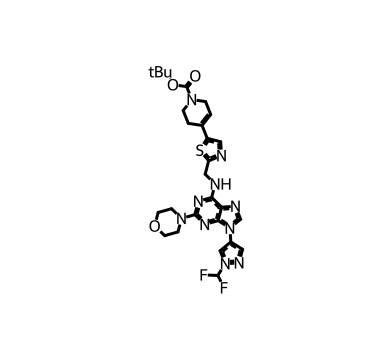 CC(C)(C)OC(=O)N1CC=C(c2cnc(CNc3nc(N4CCOCC4)nc4c3ncn4-c3cnn(C(F)F)c3)s2)CC1